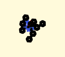 c1ccc(-c2cccc(-c3ccc(-n4c5ccccc5c5ccc6c7ccccc7n(-c7nc(-c8ccccc8)nc(-c8cccc(-c9ccccc9)c8)n7)c6c54)cc3)c2)cc1